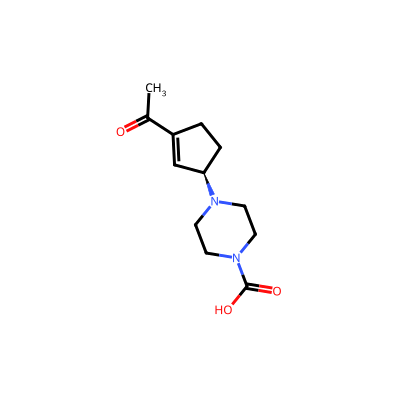 CC(=O)C1=C[C@H](N2CCN(C(=O)O)CC2)CC1